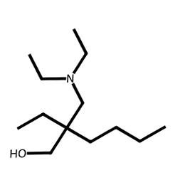 CCCCC(CC)(CO)CN(CC)CC